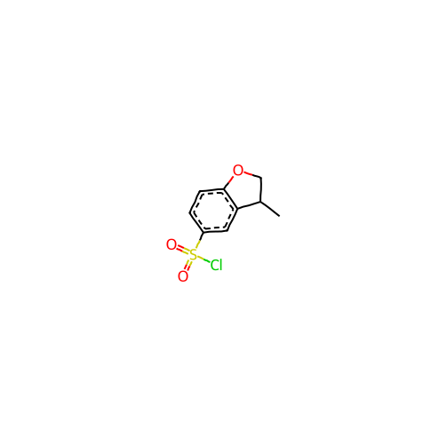 CC1COc2ccc(S(=O)(=O)Cl)cc21